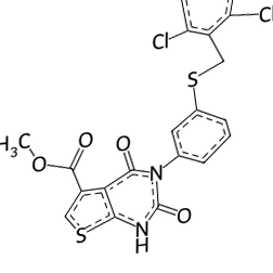 COC(=O)c1csc2[nH]c(=O)n(-c3cccc(SCc4c(Cl)cccc4Cl)c3)c(=O)c12